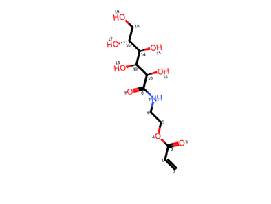 C=CC(=O)OCCNC(=O)[C@H](O)[C@@H](O)[C@H](O)[C@H](O)CO